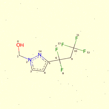 OCn1ccc(C(F)(F)CC(F)(F)F)n1